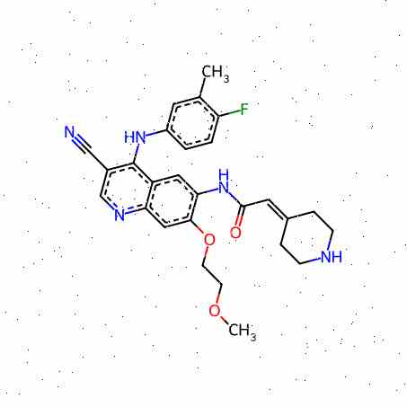 COCCOc1cc2ncc(C#N)c(Nc3ccc(F)c(C)c3)c2cc1NC(=O)C=C1CCNCC1